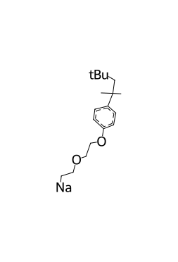 CC(C)(C)CC(C)(C)c1ccc(OCCOC[CH2][Na])cc1